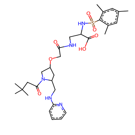 Cc1cc(C)c(S(=O)(=O)NC(CNC(=O)COC2CC(CNc3ccccn3)N(C(=O)CC(C)(C)C)C2)C(=O)O)c(C)c1